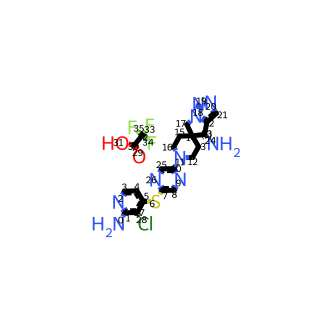 Nc1nccc(Sc2cnc(N3CCC4(CC3)Cn3nncc3[C@H]4N)cn2)c1Cl.O=C(O)C(F)(F)F